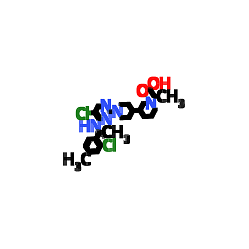 Cc1ccc([C@@H](C)Nc2nc(N3CCC(C4CCCN(C(C)C(=O)O)C4)CC3)ncc2Cl)c(Cl)c1